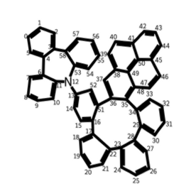 c1ccc2c(c1)-c1ccccc1N(c1ccc3c4ccccc4c4ccccc4c4ccccc4c4c(cc5ccc6cccc7ccc4c5c67)c3c1)c1ccccc1-2